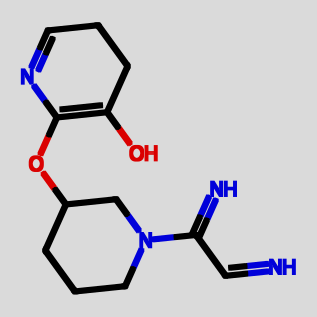 N=CC(=N)N1CCCC(OC2=C(O)CCC=N2)C1